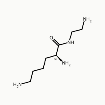 NCCCC[C@H](N)C(=O)NCCN